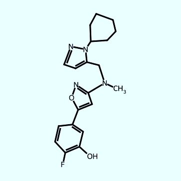 CN(Cc1ccnn1C1CCCCC1)c1cc(-c2ccc(F)c(O)c2)on1